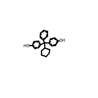 Oc1ccc(C(c2ccccc2)(c2ccc(O)cc2)C2CCCCC2)cc1